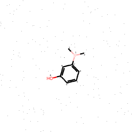 CB(C)c1cccc(O)c1